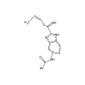 C/C=C\SC(=N)c1nc2cc(NC(=O)C(C)C)ccc2[nH]1